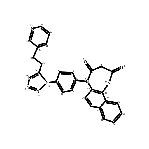 O=C1CC(=O)N(c2ccc(-n3nnnc3CCc3cccnc3)cc2)c2ccc3ccccc3c2N1